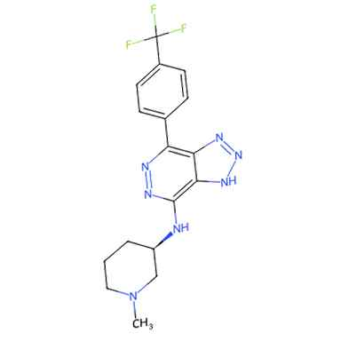 CN1CCC[C@@H](Nc2nnc(-c3ccc(C(F)(F)F)cc3)c3nn[nH]c23)C1